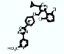 O=C(O)c1cc(-c2noc(C34CCC(OCc5c(-c6c(Cl)cccc6Cl)noc5C5CC5)(CC3)CC4)n2)ccn1